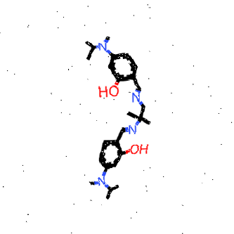 CC(C)N(C)c1ccc(C=NCC(C)(C)N=Cc2ccc(N(C)C(C)C)cc2O)c(O)c1